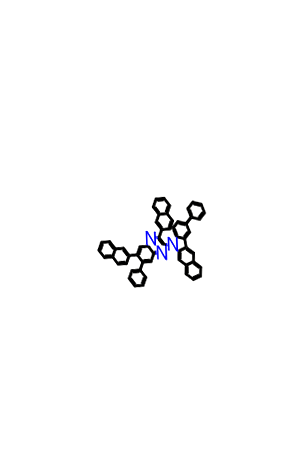 c1ccc(-c2ccc3c(c2)c2cc4ccccc4cc2n3-c2nc3cc(-c4ccccc4)c(-c4ccc5ccccc5c4)cc3nc2-c2ccc3ccccc3c2)cc1